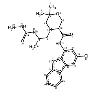 C[C@@H](CN1CC(C)(C)OC[C@H]1C(=O)Nc1cc(Cl)cc2c1[nH]c1cnccc12)NC(=O)NN